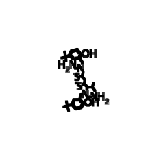 CSC(CC(SC)C(C(C)C)N(CN)Cc1cc(C(C)(C)C)ccc1O)CN(CN)Cc1cc(C(C)(C)C)ccc1O